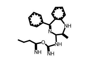 C=C1Nc2ccccc2C(c2ccccc2)=NC1NC(=N)OC(=N)CCC